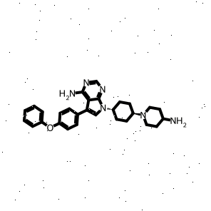 Nc1ncnc2c1c(-c1ccc(Oc3ccccc3)cc1)cn2[C@H]1CC[C@H](N2CCC(N)CC2)CC1